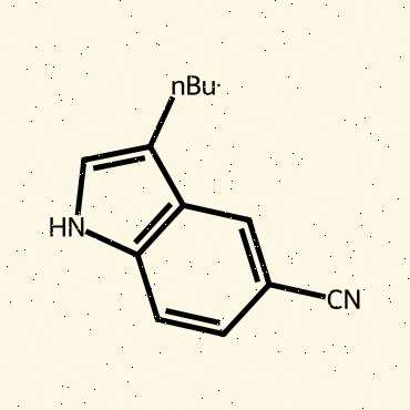 CCC[CH]c1c[nH]c2ccc(C#N)cc12